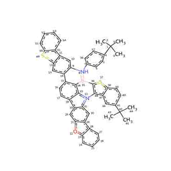 CC(C)(C)c1ccc(Nc2cc3c(cc2-c2ccc4c5cc6oc7ccccc7c6cc5n5c4c2Bc2sc4ccc(C(C)(C)C)cc4c2-5)sc2ccccc23)cc1